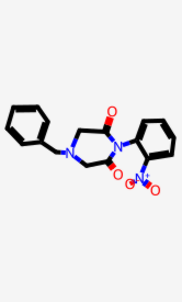 O=C1CN(Cc2ccccc2)CC(=O)N1c1ccccc1[N+](=O)[O-]